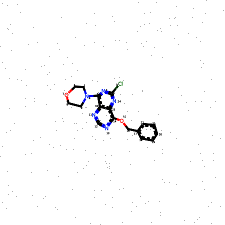 Clc1nc(N2CCOCC2)c2ncnc(OCc3ccccc3)c2n1